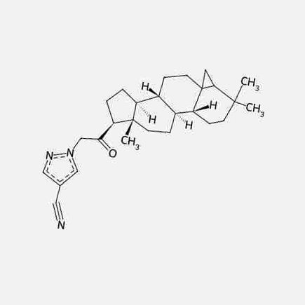 CC1(C)CC[C@@H]2[C@H]3CC[C@]4(C)[C@@H](C(=O)Cn5cc(C#N)cn5)CC[C@H]4[C@@H]3CCC23CC13